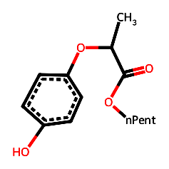 CCCCCOC(=O)C(C)Oc1ccc(O)cc1